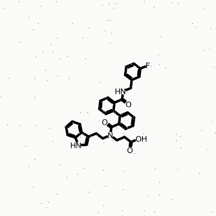 O=C(O)CCN(CCc1c[nH]c2ccccc12)C(=O)c1ccccc1-c1ccccc1C(=O)NCc1cccc(F)c1